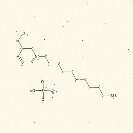 CCCCCCCCCCC[n+]1cccc(CC)c1.CS(=O)(=O)[O-]